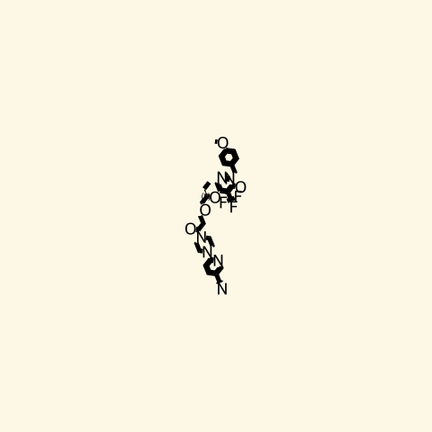 CC[C@@H](COCCC(=O)N1CCN(c2ccc(C#N)cn2)CC1)Oc1cnn(Cc2ccc(OC)cc2)c(=O)c1C(F)(F)F